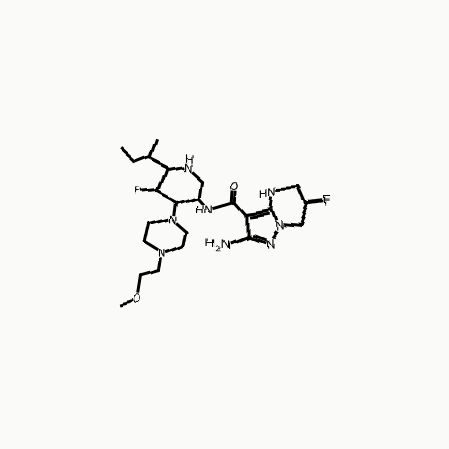 CCC(C)C1NCC(NC(=O)c2c(N)nn3c2NCC(F)C3)C(N2CCN(CCOC)CC2)C1F